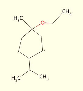 CCOC1(C)C[CH]C(C(C)C)CC1